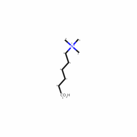 C[N+](C)(C)CCCCCC(=O)O